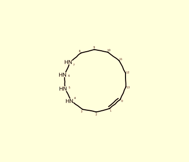 C1=CCCNNNNCCCCCC1